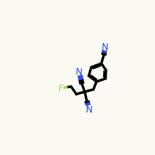 N#Cc1ccc(CC(C#N)(C#N)CCF)cc1